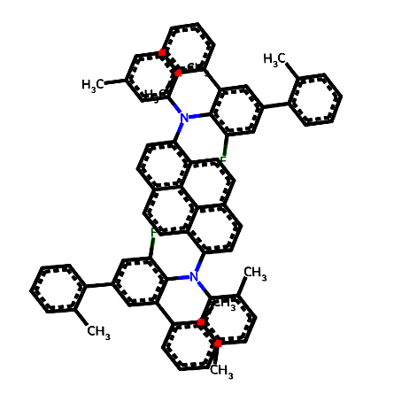 Cc1ccc(C)c(N(c2c(F)cc(-c3ccccc3C)cc2-c2ccccc2C)c2ccc3ccc4c(N(c5cc(C)ccc5C)c5c(F)cc(-c6ccccc6C)cc5-c5ccccc5C)ccc5ccc2c3c54)c1